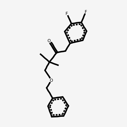 CC(C)(COCc1ccccc1)C(=O)Cc1ccc(F)c(F)c1